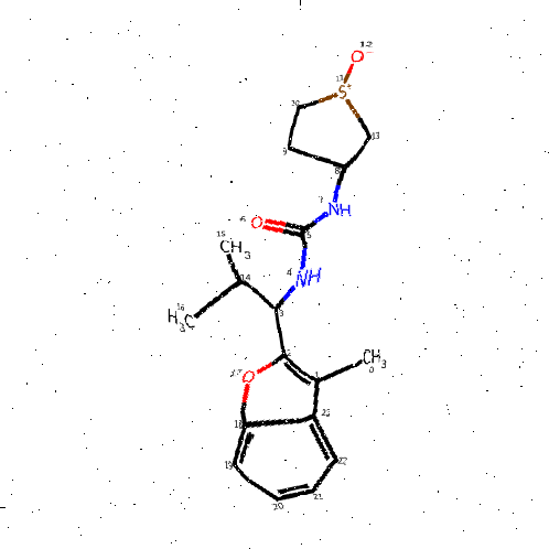 Cc1c(C(NC(=O)NC2CC[S+]([O-])C2)C(C)C)oc2ccccc12